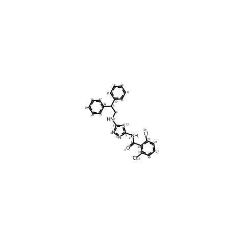 O=C(Nc1nnc(NCC(c2ccccc2)c2ccccc2)s1)c1c(Cl)cccc1Cl